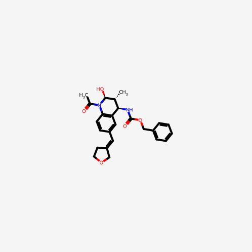 CC(=O)N1c2ccc(/C=C3\CCOC3)cc2[C@H](NC(=O)OCc2ccccc2)[C@@H](C)[C@@H]1O